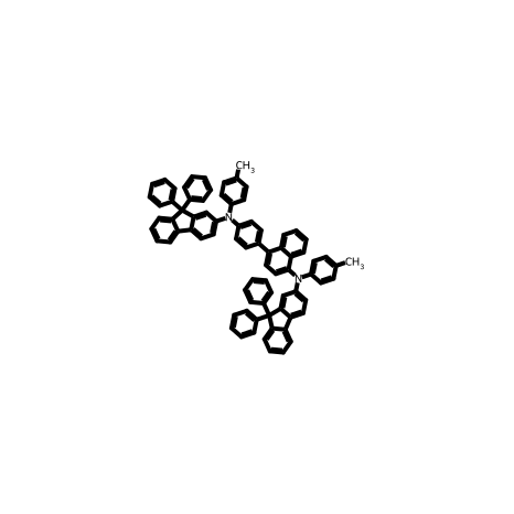 Cc1ccc(N(c2ccc(-c3ccc(N(c4ccc(C)cc4)c4ccc5c(c4)C(c4ccccc4)(c4ccccc4)c4ccccc4-5)c4ccccc34)cc2)c2ccc3c(c2)C(c2ccccc2)(c2ccccc2)c2ccccc2-3)cc1